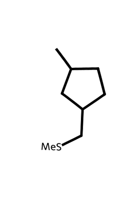 CSCC1CCC(C)C1